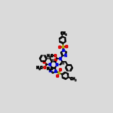 CCN(C[C@H](Cc1ccccc1)N(C(=O)OC)c1cn(S(=O)(=O)c2ccc(C)cc2)cn1)C[C@H](Cc1ccccc1)N(C(=O)OC)c1cn(S(=O)(=O)c2ccc(C)cc2)cn1